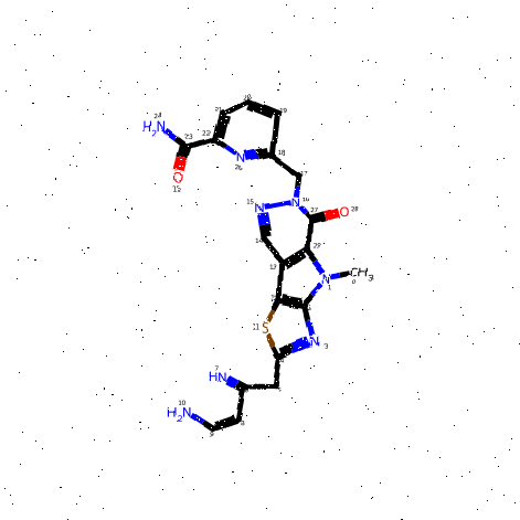 Cn1c2nc(CC(=N)/C=C\N)sc2c2cnn(Cc3cccc(C(N)=O)n3)c(=O)c21